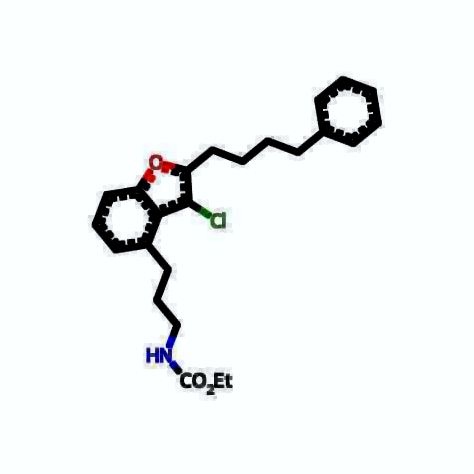 CCOC(=O)NCCCc1cccc2oc(CCCCc3ccccc3)c(Cl)c12